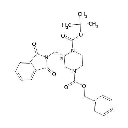 CC(C)(C)OC(=O)N1CCN(C(=O)OCc2ccccc2)C[C@@H]1CN1C(=O)c2ccccc2C1=O